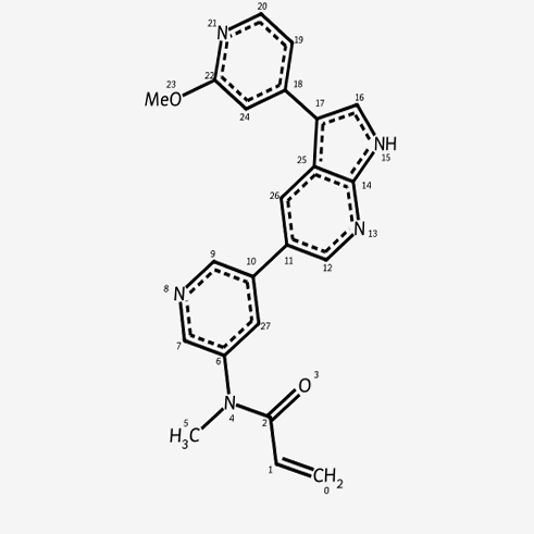 C=CC(=O)N(C)c1cncc(-c2cnc3[nH]cc(-c4ccnc(OC)c4)c3c2)c1